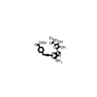 CCNC(=O)[C@H]1O[C@@H](n2cnc3c(N)nc(C#CCC4CCC(C(=O)OC)CC4)nc32)[C@@H](O)C1O